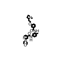 Cc1ccc(NC(=O)c2ccnc(N3CCOCC3)c2)cc1NC(=O)c1cccc(OCCC2CCCN2C)c1